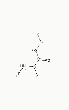 CCOC(=O)C(C)NI